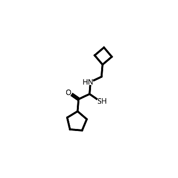 O=C(C1CCCC1)C(S)NCC1CCC1